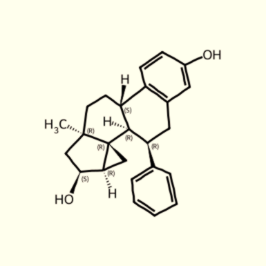 C[C@]12CC[C@@H]3c4ccc(O)cc4C[C@@H](c4ccccc4)[C@H]3[C@@]13C[C@H]3[C@@H](O)C2